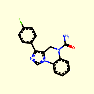 NC(=O)N1Cc2c(-c3ccc(F)cc3)ncn2-c2ccccc21